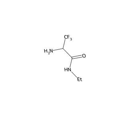 CCNC(=O)C(N)C(F)(F)F